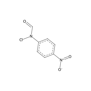 O=CN(Cl)c1ccc([N+](=O)[O-])cc1